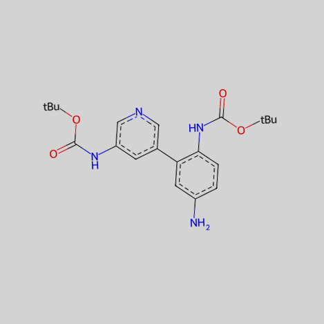 CC(C)(C)OC(=O)Nc1cncc(-c2cc(N)ccc2NC(=O)OC(C)(C)C)c1